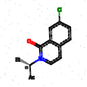 CC[C@@H](C(C)=O)n1ccc2ccc(Cl)cc2c1=O